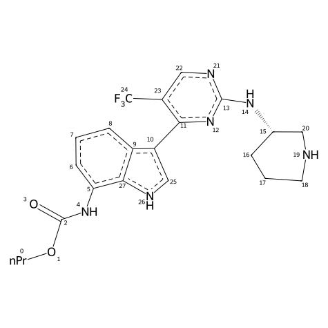 CCCOC(=O)Nc1cccc2c(-c3nc(N[C@H]4CCCNC4)ncc3C(F)(F)F)c[nH]c12